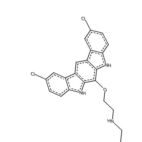 NCCNCCOc1c2[nH]c3ccc(Cl)cc3c2cc2c1[nH]c1ccc(Cl)cc12